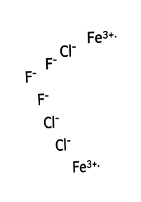 [Cl-].[Cl-].[Cl-].[F-].[F-].[F-].[Fe+3].[Fe+3]